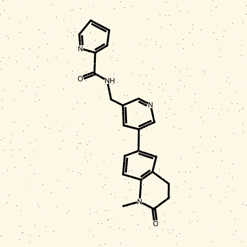 CN1C(=O)CCc2cc(-c3cncc(CNC(=O)c4ccccn4)c3)ccc21